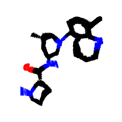 Cc1ccc(N2C[C@@H](C)C[C@@H](NC(=O)[C@@H]3CCCN3)C2)c2cccnc12